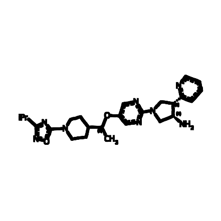 CC(C)c1noc(N2CCC([C@H](C)Oc3cnc(N4C[C@H](c5ccccn5)[C@@H](N)C4)nc3)CC2)n1